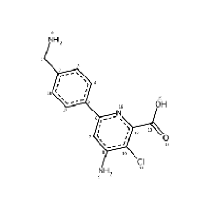 NCc1ccc(-c2cc(N)c(Cl)c(C(=O)O)n2)cc1